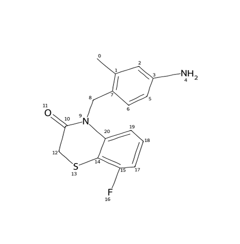 Cc1cc(N)ccc1CN1C(=O)CSc2c(F)cccc21